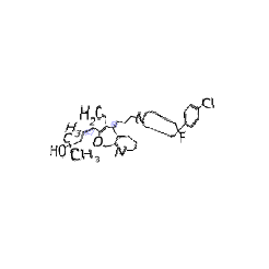 C=CC1=C(/C=C\CC(C)(C)O)OCC2=NCCC=C2/C1=C\CCN1CCC(F)(c2ccc(Cl)cc2)CC1